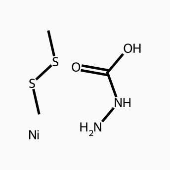 CSSC.NNC(=O)O.[Ni]